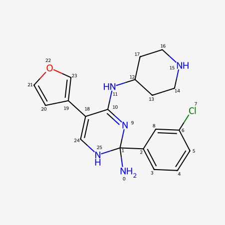 NC1(c2cccc(Cl)c2)N=C(NC2CCNCC2)C(c2ccoc2)=CN1